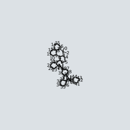 CC1(C)c2ccc3c(c2-c2cccc4cccc1c24)c1ccccc1n3-c1ccc2c(c1)c1ccccc1n2-c1ccccc1